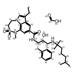 CCc1cn2c3c(cc(C(=O)N[C@@H](Cc4ccccc4)[C@H](O)CNC(C)(C)CCCC(C)C)cc13)N(C)S(=O)(=O)CC2.O=CO